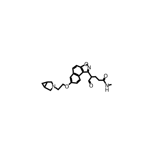 CNC(=O)CCC(C=O)c1noc2ccc3cc(OCCN4CC5CC5C4)ccc3c12